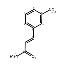 CNC(=O)C=Cc1cccc([N+](=O)[O-])c1